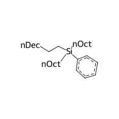 CCCCCCCCCCCC[Si](CCCCCCCC)(CCCCCCCC)c1ccccc1